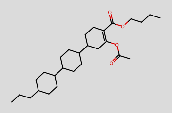 CCCCOC(=O)C1=C(OC(C)=O)CC(C2CCC(C3CCC(CCC)CC3)CC2)CC1